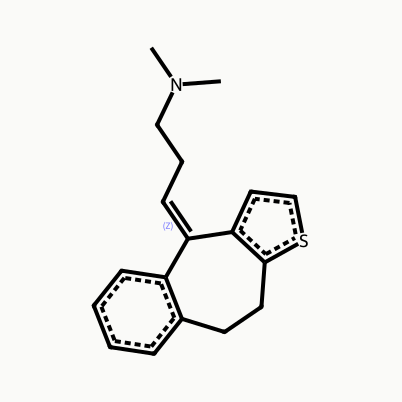 CN(C)CC/C=C1/c2ccccc2CCc2sccc21